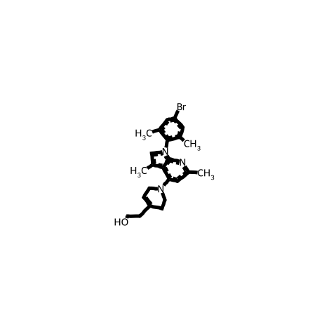 Cc1cc(N2CC=C(CCO)CC2)c2c(C)cn(-c3c(C)cc(Br)cc3C)c2n1